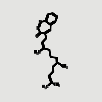 CC(C)=CCCC(C)=CCCC(C)=CCc1cc2ccccc2nnc1=O